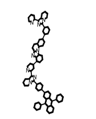 c1ccc(-c2c3ccccc3c(-c3ccccc3)c3cc(-c4ccc(-c5nc(-c6cc(-c7cccc8c7nc7ccc9cc(-c%10cccc(-c%11nc(-c%12ccccn%12)c%12ccccn%11%12)c%10)ccc9n78)ccn6)c6ccccn56)cc4)ccc23)cc1